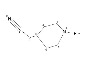 N#CCC1CCN(F)CC1